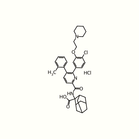 Cc1ccccc1-c1ccc(C(=O)NC2(C(=O)O)C3CC4CC(C3)CC2C4)nc1-c1ccc(Cl)c(OCCN2CCCCC2)c1.Cl